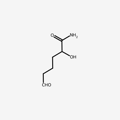 NC(=O)C(O)CCCC=O